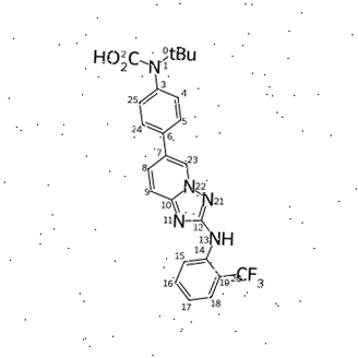 CC(C)(C)N(C(=O)O)c1ccc(-c2ccc3nc(Nc4ccccc4C(F)(F)F)nn3c2)cc1